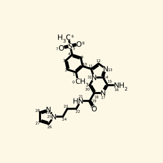 Cc1ccc(S(C)(=O)=O)cc1-c1cnc2c(N)nc(C(=O)NCCCn3cccn3)cn12